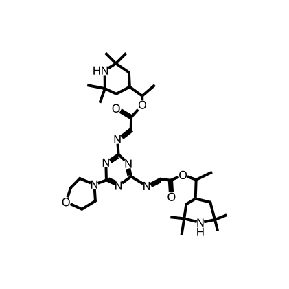 CC(OC(=O)/C=N/c1nc(/N=C/C(=O)OC(C)C2CC(C)(C)NC(C)(C)C2)nc(N2CCOCC2)n1)C1CC(C)(C)NC(C)(C)C1